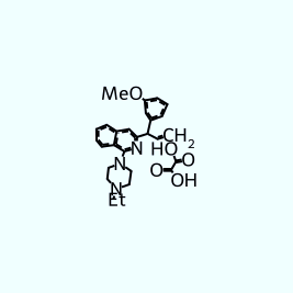 C=CC(c1cccc(OC)c1)c1cc2ccccc2c(N2CCN(CC)CC2)n1.O=C(O)C(=O)O